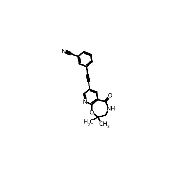 CC1(C)CNC(=O)c2cc(C#Cc3cccc(C#N)c3)cnc2O1